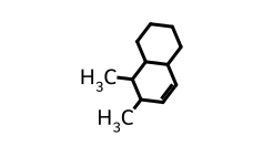 CC1C=CC2CCCCC2C1C